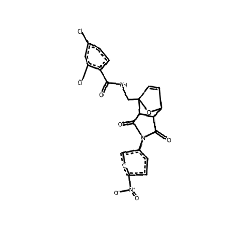 O=C(NCC12C=CC(O1)C1C(=O)N(c3ccc([N+](=O)[O-])cc3)C(=O)C12)c1ccc(Cl)cc1Cl